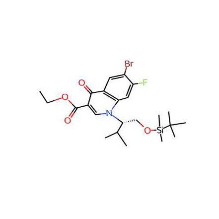 CCOC(=O)c1cn([C@H](CO[Si](C)(C)C(C)(C)C)C(C)C)c2cc(F)c(Br)cc2c1=O